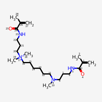 C=C(C)C(=O)NCCCN(C)CCCCCC[N+](C)(C)CCCNC(=O)C(=C)C